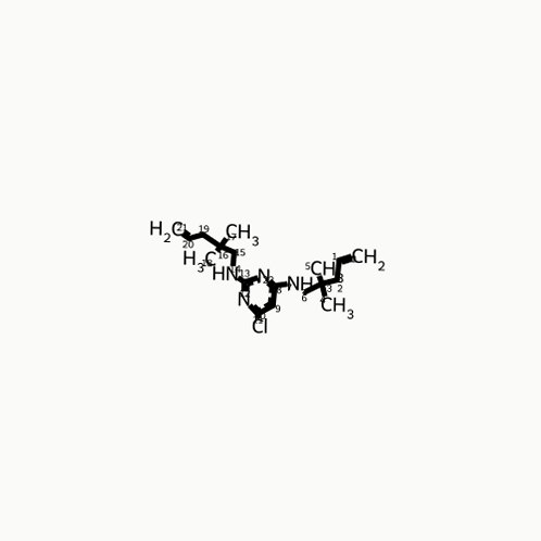 C=CCC(C)(C)CNc1cc(Cl)nc(NCC(C)(C)CC=C)n1